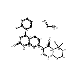 Cc1ccccc1-c1cc(=O)oc2cc(C(C=O)C(=O)N3CCCCC3(C)C)ccc12.NC=O